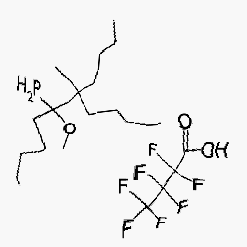 CCCCC(C)(CCCC)C(P)(CCCC)OC.O=C(O)C(F)(F)C(F)(F)C(F)(F)F